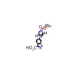 CC(C)(C)OC(=O)N1C[C@@H]2C[C@H]1CN2c1ccc2c(C(=O)O)nsc2c1